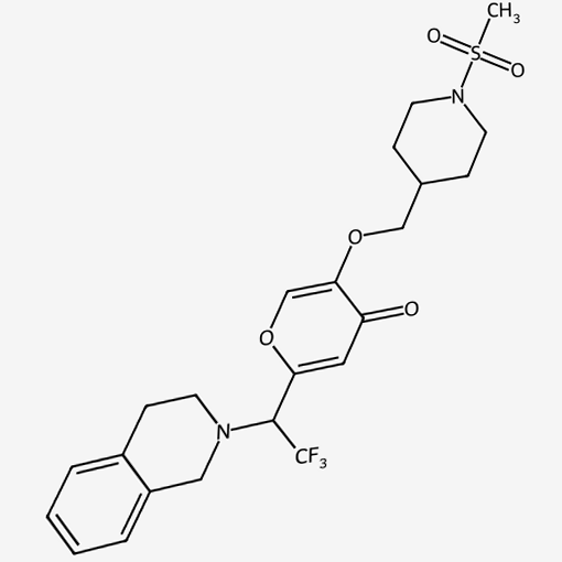 CS(=O)(=O)N1CCC(COc2coc(C(N3CCc4ccccc4C3)C(F)(F)F)cc2=O)CC1